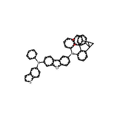 c1ccc(N(c2ccc3sccc3c2)c2ccc3c(c2)oc2ccc(N(c4ccccc4)c4cccc5c4-c4ccccc4C4CC54c4ccccc4)cc23)cc1